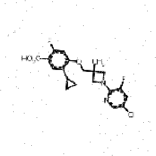 CC1(COc2cc(F)c(C(=O)O)cc2C2CC2)CN(c2ncc(Cl)cc2F)C1